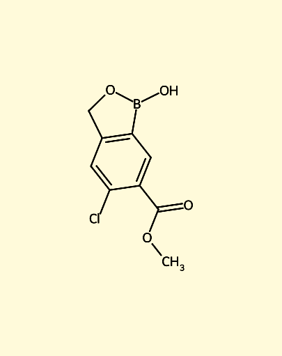 COC(=O)c1cc2c(cc1Cl)COB2O